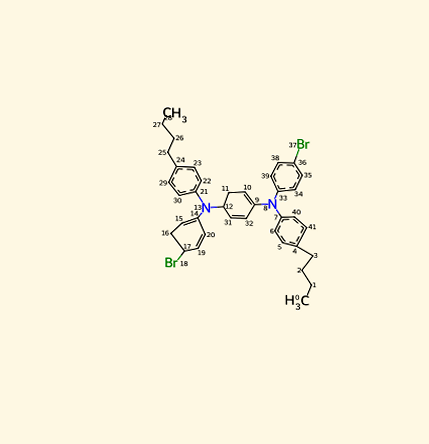 CCCCc1ccc(N(C2=CCC(N(C3=CCC(Br)C=C3)c3ccc(CCCC)cc3)C=C2)c2ccc(Br)cc2)cc1